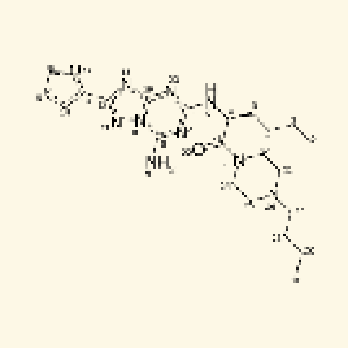 CCCC[C@H](Nc1nc(N)n2nc(-c3ccco3)nc2n1)C(=O)N1CCN(CCCC)CC1